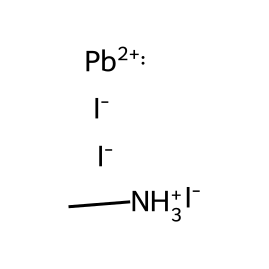 C[NH3+].[I-].[I-].[I-].[Pb+2]